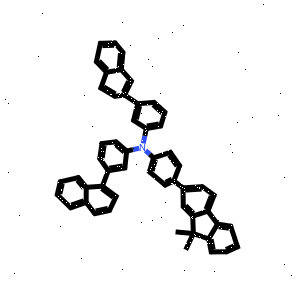 CC1(C)c2ccccc2-c2ccc(-c3ccc(N(c4cccc(-c5ccc6ccccc6c5)c4)c4cccc(-c5cccc6ccccc56)c4)cc3)cc21